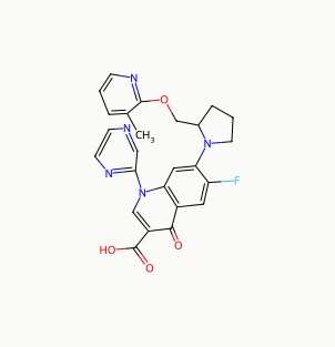 Cc1cccnc1OCC1CCCN1c1cc2c(cc1F)c(=O)c(C(=O)O)cn2-c1cnccn1